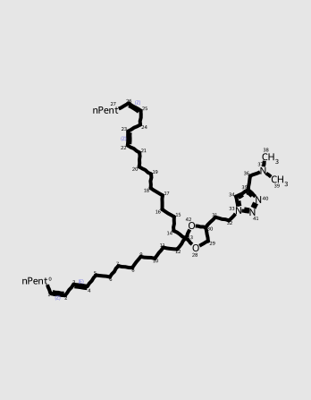 CCCCC/C=C\C=C\CCCCCCCCC1(CCCCCCCC/C=C\C/C=C\CCCCC)OCC(CCn2cc(CN(C)C)nn2)O1